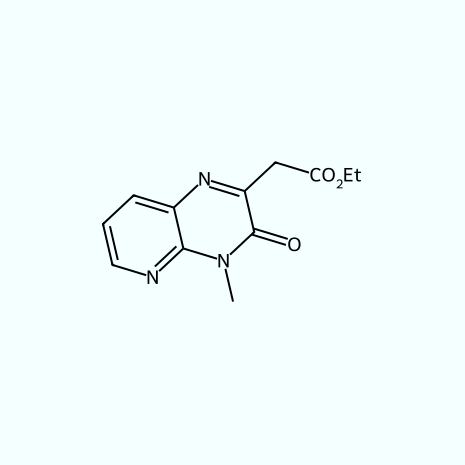 CCOC(=O)Cc1nc2cccnc2n(C)c1=O